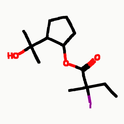 CCC(C)(I)C(=O)OC1CCCC1C(C)(C)O